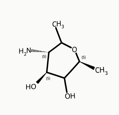 CC1O[C@@H](C)C(O)[C@@H](O)[C@@H]1N